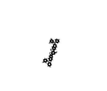 Cc1cccc(N(c2ccccc2)c2ccc3cc4c(cc3c2)oc2c4cc(C)c3c4cc5ccc(N(c6ccccc6)c6cccc(C)c6)cc5cc4oc23)c1